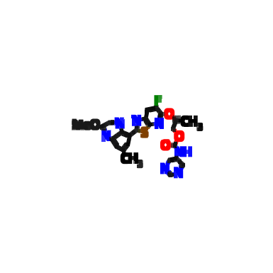 COc1cnc2c(-c3nc4cc(F)c(O[C@@H](C)COC(=O)Nc5cncnc5)nc4s3)cc(C)cc2n1